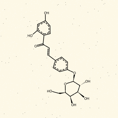 O=C(/C=C/c1ccc(O[C@@H]2O[C@H](CO)[C@H](O)[C@H](O)[C@H]2O)cc1)c1ccc(O)cc1O